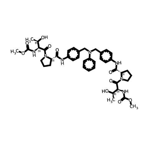 COC(=O)N[C@H](C(=O)N1CCC[C@H]1C(=O)Nc1ccc(CN(Cc2ccc(NC(=O)[C@@H]3CCCN3C(=O)[C@@H](NC(=O)OC)[C@@H](C)O)cc2)c2ccccc2)cc1)[C@@H](C)O